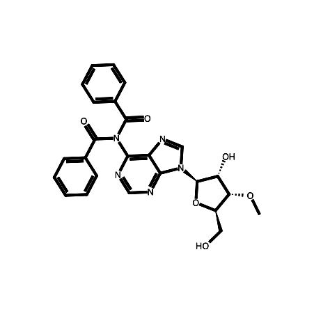 CO[C@H]1[C@@H](O)[C@H](n2cnc3c(N(C(=O)c4ccccc4)C(=O)c4ccccc4)ncnc32)O[C@@H]1CO